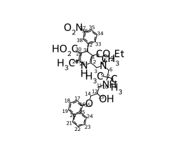 CCOC(=O)C1=C(CN(C)CC(C)(C)NCC(O)COc2cccc3ccccc23)NC(C)=C(C(=O)O)C1c1cccc([N+](=O)[O-])c1